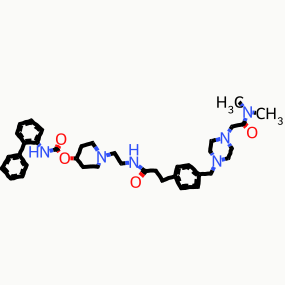 CN(C)C(=O)CN1CCN(Cc2ccc(CCC(=O)NCCN3CCC(OC(=O)Nc4ccccc4-c4ccccc4)CC3)cc2)CC1